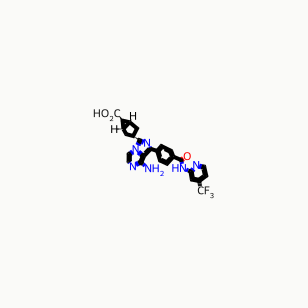 Nc1nccn2c([C@@H]3C[C@@H]4[C@H](C3)[C@H]4C(=O)O)nc(-c3ccc(C(=O)Nc4cc(C(F)(F)F)ccn4)cc3)c12